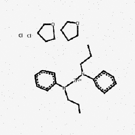 C1CCOC1.C1CCOC1.CCC[N]([Zr+2][N](CCC)c1ccccc1)c1ccccc1.[Cl-].[Cl-]